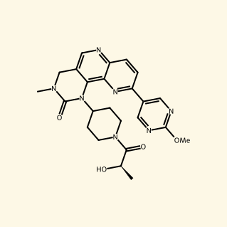 COc1ncc(-c2ccc3ncc4c(c3n2)N(C2CCN(C(=O)[C@@H](C)O)CC2)C(=O)N(C)C4)cn1